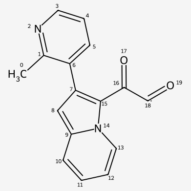 Cc1ncccc1-c1cc2ccccn2c1C(=O)[C]=O